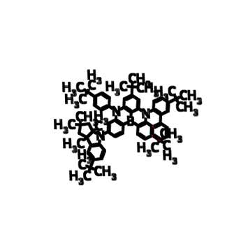 CC1(C)CC2(C)c3cc(C(C)(C)C)ccc3N(c3ccc4c(c3)N(c3ccc(C(C)(C)C)cc3)c3cc(C(C)(C)C)cc5c3B4c3ccc(C(C)(C)C)cc3N5c3ccc(C(C)(C)C)cc3-c3ccccc3)C2(C)C1